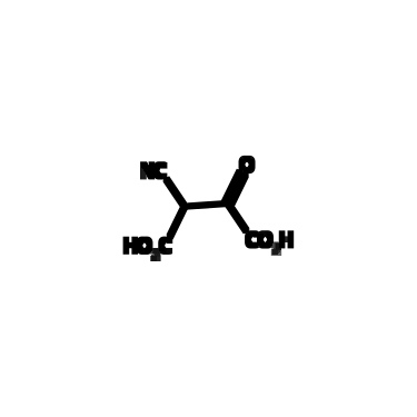 N#CC(C(=O)O)C(=O)C(=O)O